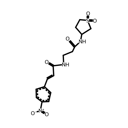 O=C(/C=C/c1ccc([N+](=O)[O-])cc1)NCCC(=O)NC1CCS(=O)(=O)C1